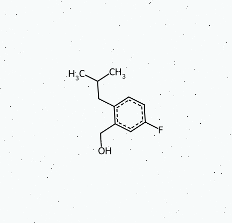 CC(C)Cc1ccc(F)cc1CO